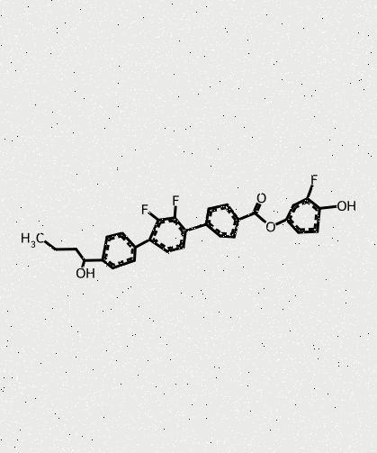 CCCC(O)c1ccc(-c2ccc(-c3ccc(C(=O)Oc4ccc(O)c(F)c4)cc3)c(F)c2F)cc1